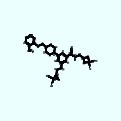 Nc1ncncc1OCC1CCN(c2nc(OCC3CC3(F)F)nc(C(=O)NCC3CC(F)(F)C3)n2)CC1